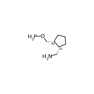 NC[C@H]1CCC[C@H]1COP